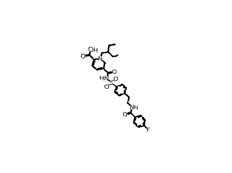 CCC(CC)CN1CC(C(=O)NS(=O)(=O)c2ccc(CCNC(=O)c3ccc(F)cc3)cc2)=CC=C1C(=O)O